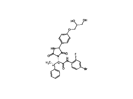 C[C@@H](c1ccccc1)[C@@H](C(=O)Nc1ccc(Br)cc1F)N1C(=O)NC(c2ccc(OCC(O)CO)cc2)C1=O